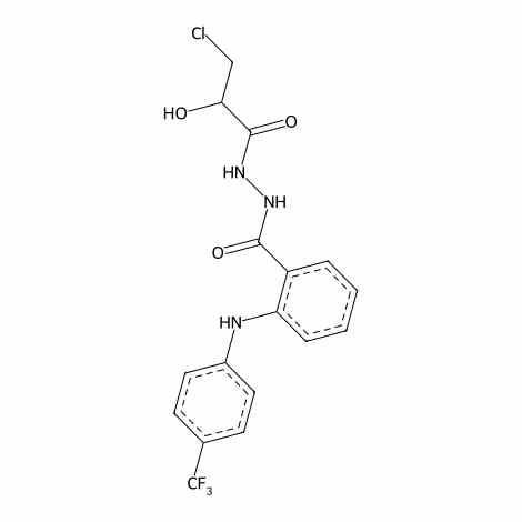 O=C(NNC(=O)C(O)CCl)c1ccccc1Nc1ccc(C(F)(F)F)cc1